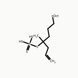 C=CCC(C)(CCCCCCCCCCC)SP(=S)(S)S